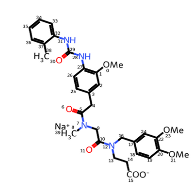 COc1cc(CC(=O)N(C)CC(=O)N(CCC(=O)[O-])Cc2ccc(OC)c(OC)c2)ccc1NC(=O)Nc1ccccc1C.[Na+]